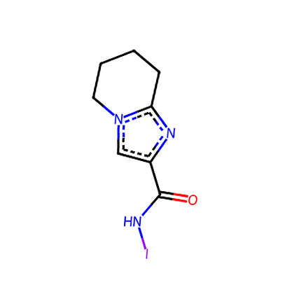 O=C(NI)c1cn2c(n1)CCCC2